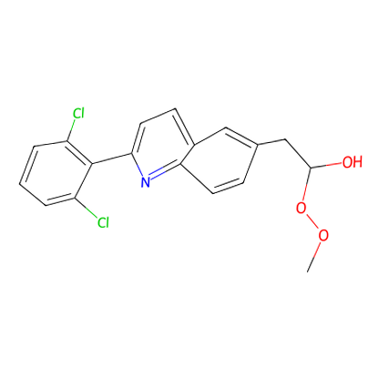 COOC(O)Cc1ccc2nc(-c3c(Cl)cccc3Cl)ccc2c1